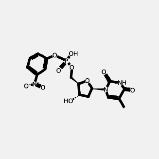 Cc1cn([C@H]2C[C@H](O)[C@@H](COP(=O)(O)Oc3cccc([N+](=O)[O-])c3)O2)c(=O)[nH]c1=O